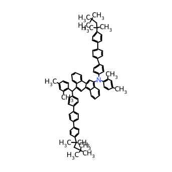 Cc1ccc(C(c2ccc(-c3ccc(-c4ccc(C(C)(C)CC(C)(C)C)cc4)cc3)cc2)c2cc3c4ccccc4c(N(c4ccc(-c5ccc(-c6ccc(C(C)(C)CC(C)(C)C)cc6)cc5)cc4)c4ccc(C)cc4C)cc3c3ccccc23)c(C)c1